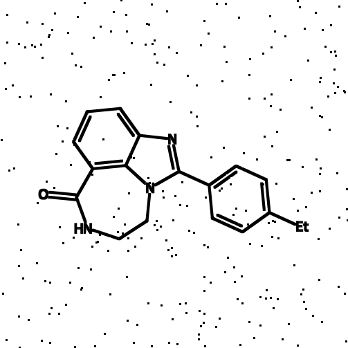 CCc1ccc(-c2nc3cccc4c3n2CCNC4=O)cc1